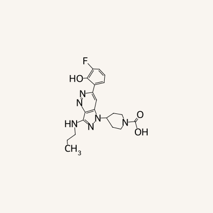 CCCNc1nn(C2CCN(C(=O)O)CC2)c2cc(-c3cccc(F)c3O)nnc12